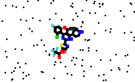 COC(=O)C1=C(C2CCNCC2)NC(c2nccs2)=NC1c1ccc(F)cc1Cl.O=C(O)C(F)(F)F